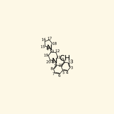 Cc1cccc2cccc(N3CCC(N4CCCC4)CC3)c12